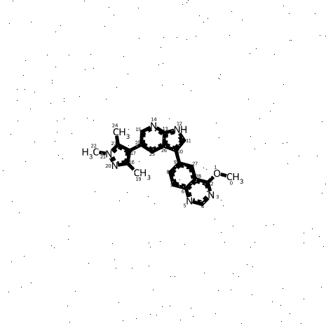 COc1ncnc2ccc(-c3c[nH]c4ncc(-c5c(C)nn(C)c5C)cc34)cc12